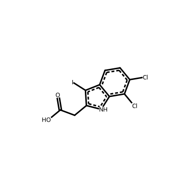 O=C(O)Cc1[nH]c2c(Cl)c(Cl)ccc2c1I